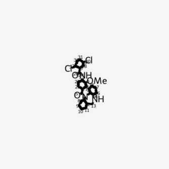 COc1cc(C(=O)N2c3ccccc3CNc3ccccc32)ccc1NC(=O)c1cc(Cl)ccc1Cl